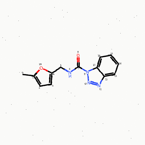 Cc1ccc(CNC(=O)n2nnc3ccccc32)o1